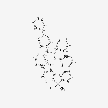 CC1(C)c2ccccc2-c2c1ccc1c2sc2c(N(c3ccc(-c4ccccc4)cc3)c3cc4ccccc4c4ccccc34)cccc21